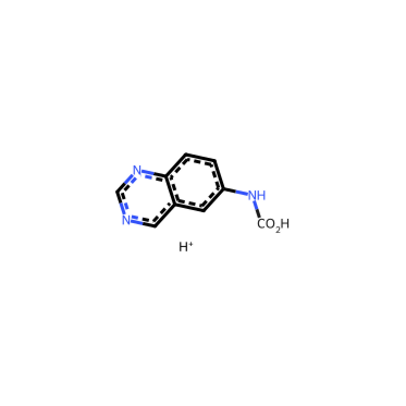 O=C(O)Nc1ccc2ncncc2c1.[H+]